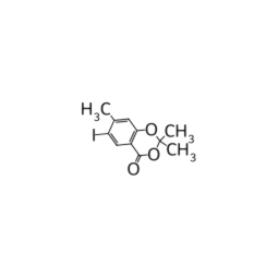 Cc1cc2c(cc1I)C(=O)OC(C)(C)O2